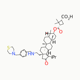 CC(C)C1=C2[C@H]3CC[C@@H]4[C@@]5(C)CC[C@H](OC(=O)[C@H]6C[C@@H](C(=O)O)C6(C)C)C(C)(C)[C@@H]5CC[C@@]4(C)[C@]3(C)CC[C@@]2(CCNCc2ccc(CN3CCSCC3)cc2)CC1=O